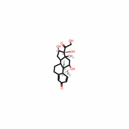 CC12CC(O)[C@@]3(F)C(CCC4=CC(=O)C=C[C@@]43C)C1C[C@@H](O)[C@]2(O)C(=O)CO